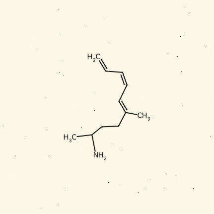 C=C/C=C\C=C(/C)CCC(C)N